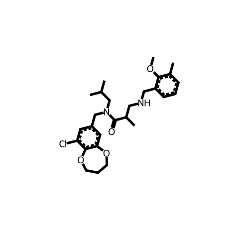 COc1c(C)cccc1CNCC(C)C(=O)N(Cc1cc(Cl)c2c(c1)OCCCO2)CC(C)C